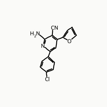 N#Cc1c(-c2ccco2)cc(-c2ccc(Cl)cc2)nc1N